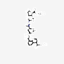 C=N/C(=N\C=C(/C)c1cc(NC[C@@H](C)c2cccc3c(C(=O)NC)ccnc23)ncn1)OC1CCN(C(=O)OC(C)(C)C)C1